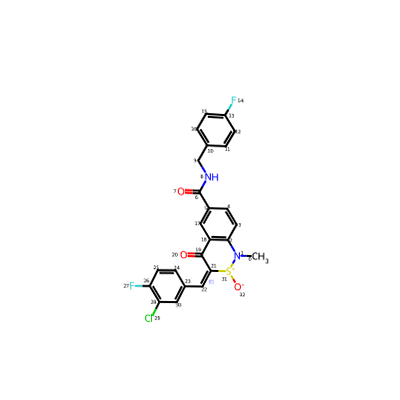 CN1c2ccc(C(=O)NCc3ccc(F)cc3)cc2C(=O)/C(=C\c2ccc(F)c(Cl)c2)[S+]1[O-]